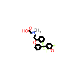 CN(CCC(Oc1cccc(C(F)(F)C2=C(F)C(=O)C(F)C=C2)c1)c1ccccc1)CC(=O)O